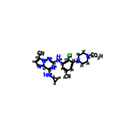 N#Cc1cc(Nc2nc(NC3CC3)c3ncc(C#N)n3n2)c(Cl)c(N2CCN(C(=O)O)CC2)c1